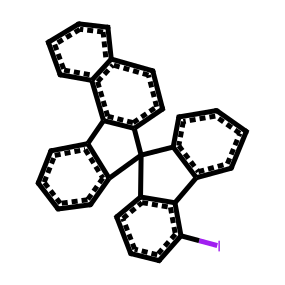 Ic1cccc2c1-c1ccccc1C21c2ccccc2-c2c1ccc1ccccc21